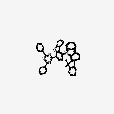 CC1(C)c2ccccc2-c2ccc3c4ccccc4n(-c4ccc(-c5nc(-c6ccccc6)nc(-c6ccccc6)n5)c5oc6ccccc6c45)c3c21